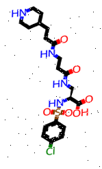 O=C(CCC1CCNCC1)NCCC(=O)NC[C@H](NS(=O)(=O)c1ccc(Cl)cc1)C(=O)O